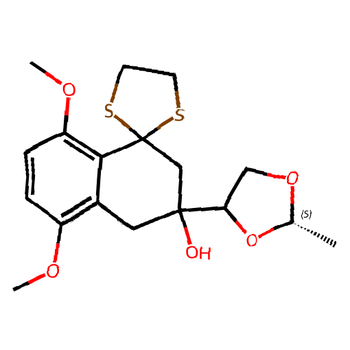 COc1ccc(OC)c2c1CC(O)(C1CO[C@H](C)O1)CC21SCCS1